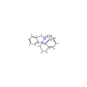 CN1Cc2ccccc2C12CCCc1ccccc12